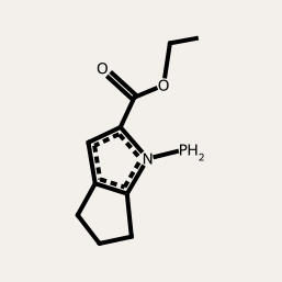 CCOC(=O)c1cc2c(n1P)CCC2